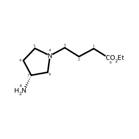 CCOC(=O)CCCN1CC[C@@H](N)C1